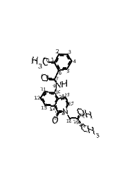 Cc1ccccc1C(=O)Nc1cccc2c(=O)n(CC(C)O)ccc12